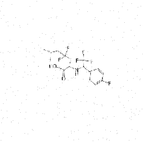 CC(C)CC(F)(F)C[C@H](N[C@@H](c1ccc(F)cc1)C(F)(F)F)C(=O)O